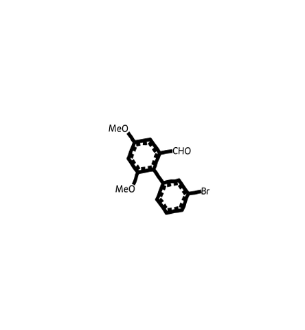 COc1cc(C=O)c(-c2cccc(Br)c2)c(OC)c1